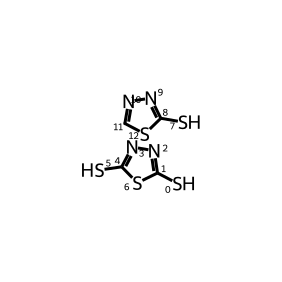 Sc1nnc(S)s1.Sc1nncs1